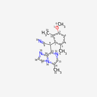 COc1ccc(C)c(C(C#N)c2ncc(C)n3ccnc23)c1C